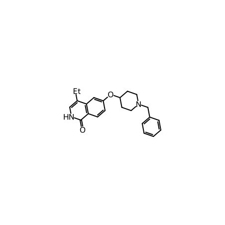 CCc1c[nH]c(=O)c2ccc(OC3CCN(Cc4ccccc4)CC3)cc12